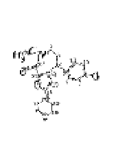 CN1CCC(c2ccc(Cl)cc2)c2cc(N3CCOCC3)oc2C1=O